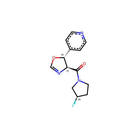 O=C([C@H]1N=CO[C@@H]1c1ccncc1)N1CC[C@@H](F)C1